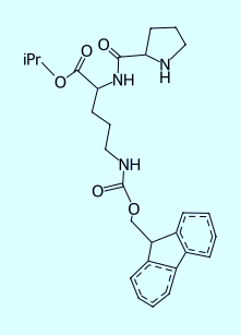 CC(C)OC(=O)C(CCCNC(=O)OCC1c2ccccc2-c2ccccc21)NC(=O)C1CCCN1